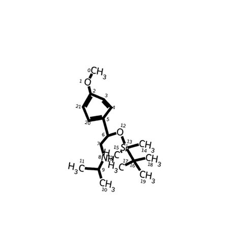 COc1ccc(C(CNC(C)C)O[Si](C)(C)C(C)(C)C)cc1